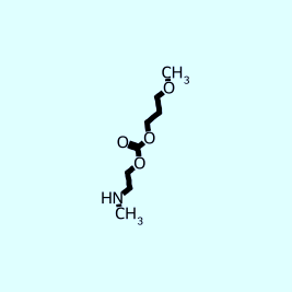 CNCCOC(=O)OCCCOC